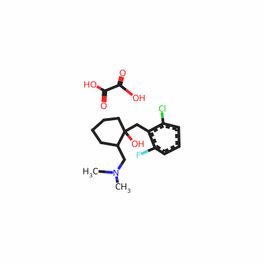 CN(C)CC1CCCCC1(O)Cc1c(F)cccc1Cl.O=C(O)C(=O)O